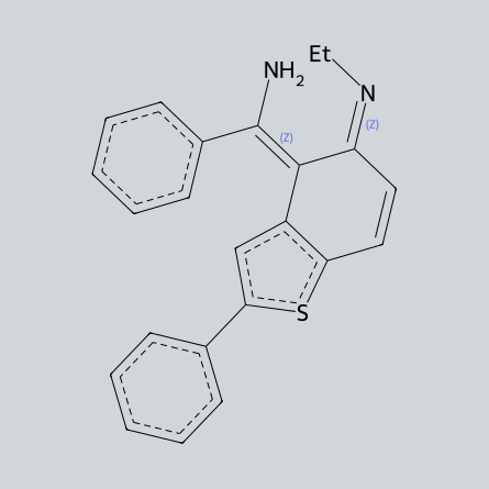 CC/N=C1/C=Cc2sc(-c3ccccc3)cc2/C1=C(/N)c1ccccc1